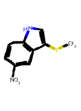 O=[N+]([O-])c1ccc2[nH]cc(SC(F)(F)F)c2c1